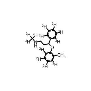 [2H]c1c([2H])c([2H])c(C(CCNC([2H])([2H])[2H])Oc2c([2H])c([2H])c([2H])c([2H])c2C)c([2H])c1[2H]